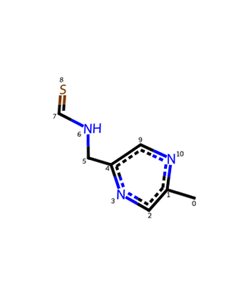 Cc1cnc(CNC=S)cn1